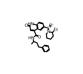 CCC1CCCCN1[S+]([O-])c1ccc2[nH]c(=O)cc(C(=O)NC(C)CCc3ccccc3)c2c1